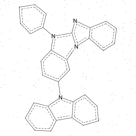 c1ccc(-n2c3ccc(-n4c5ccccc5c5ccccc54)cc3n3c4ccccc4nc23)cc1